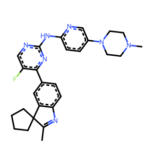 CC1=Nc2ccc(-c3nc(Nc4ccc(N5CCN(C)CC5)cn4)ncc3F)cc2C12CCCC2